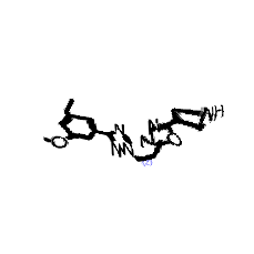 COc1cc(C)cc(-c2ncn(/C=C\c3nnc(C4CNC4)o3)n2)c1